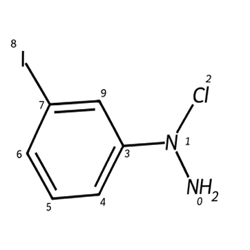 NN(Cl)c1cccc(I)c1